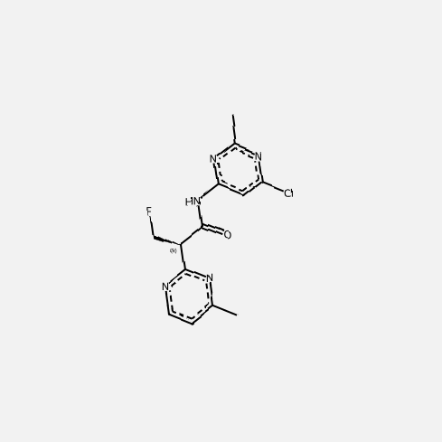 Cc1ccnc([C@@H](CF)C(=O)Nc2cc(Cl)nc(C)n2)n1